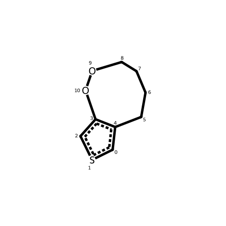 c1scc2c1CCCCOO2